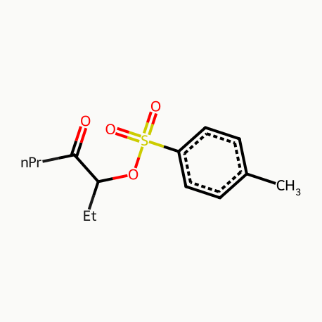 CCCC(=O)C(CC)OS(=O)(=O)c1ccc(C)cc1